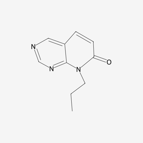 CCCn1c(=O)ccc2cncnc21